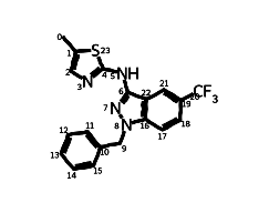 Cc1cnc(Nc2nn(Cc3ccccc3)c3ccc(C(F)(F)F)cc23)s1